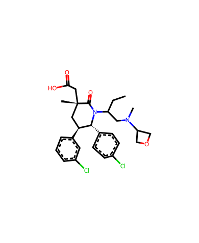 CCC(CN(C)C1COC1)N1C(=O)[C@@](C)(CC(=O)O)C[C@H](c2cccc(Cl)c2)[C@H]1c1ccc(Cl)cc1